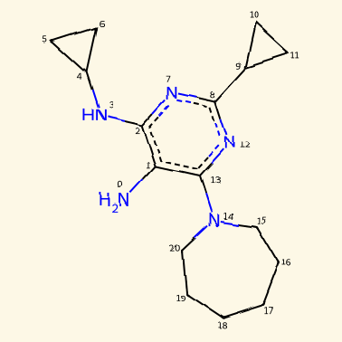 Nc1c(NC2CC2)nc(C2CC2)nc1N1CCCCCC1